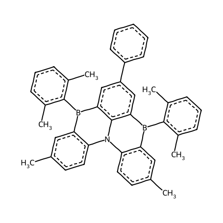 Cc1ccc2c(c1)B(c1c(C)cccc1C)c1cc(-c3ccccc3)cc3c1N2c1ccc(C)cc1B3c1c(C)cccc1C